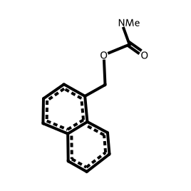 CNC(=O)OCc1cccc2ccccc12